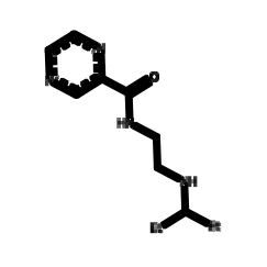 CCC(CC)NCCNC(=O)c1cnccn1